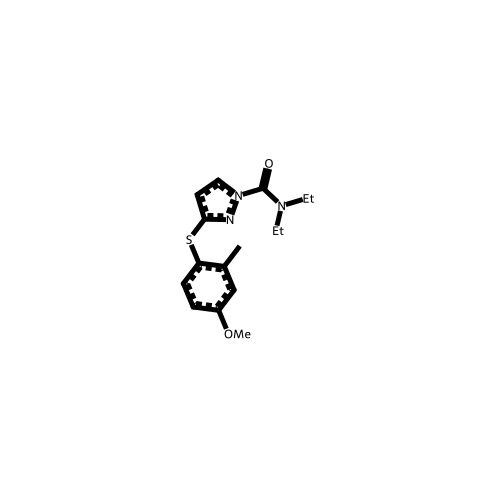 CCN(CC)C(=O)n1ccc(Sc2ccc(OC)cc2C)n1